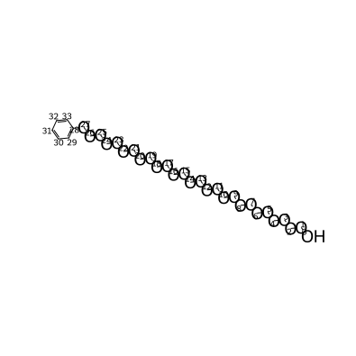 OOOOOOOOOOOOOOOOOOOOOOOOOOOOc1ccccc1